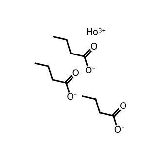 CCCC(=O)[O-].CCCC(=O)[O-].CCCC(=O)[O-].[Ho+3]